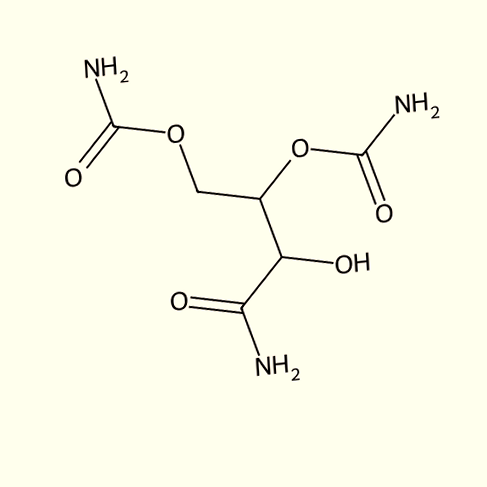 NC(=O)OCC(OC(N)=O)C(O)C(N)=O